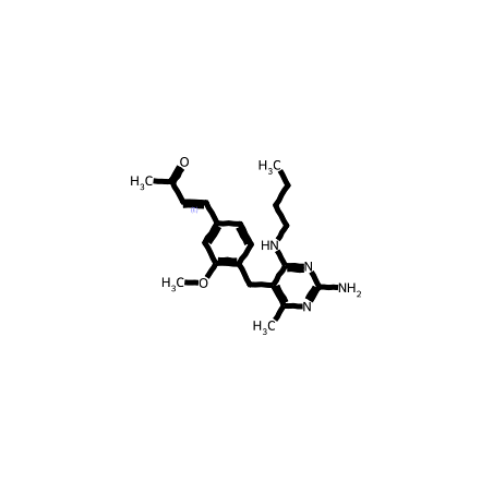 CCCCNc1nc(N)nc(C)c1Cc1ccc(/C=C/C(C)=O)cc1OC